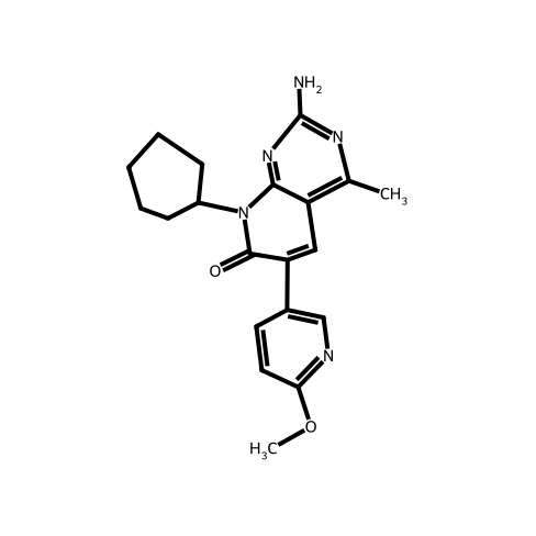 COc1ccc(-c2cc3c(C)nc(N)nc3n(C3CCCCC3)c2=O)cn1